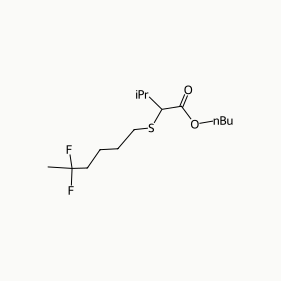 CCCCOC(=O)C(SCCCCC(C)(F)F)C(C)C